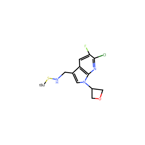 CC(C)(C)SNCc1cn(C2COC2)c2nc(Cl)c(F)cc12